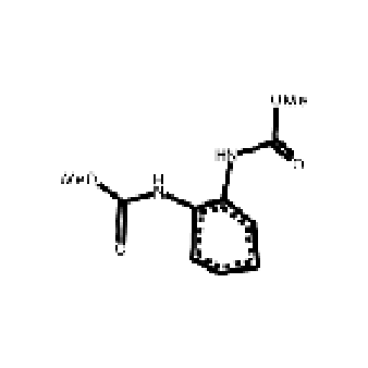 COC(=O)Nc1ccccc1NC(=O)OC